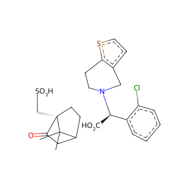 CC1(C)C2CC[C@]1(CS(=O)(=O)O)C(=O)C2.O=C(O)[C@H](c1ccccc1Cl)N1CCc2sccc2C1